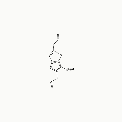 C=CCC1=Cc2cc(CC=C)p(CCCCC)c2C1